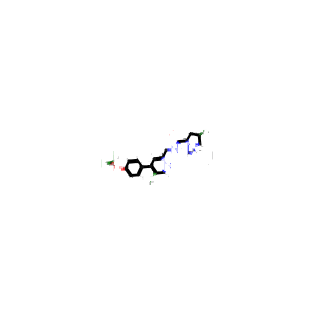 O=C(NCc1cc(-c2ccc(OC(F)F)cc2)c(F)cn1)C1CC(F)CN1C(=O)O